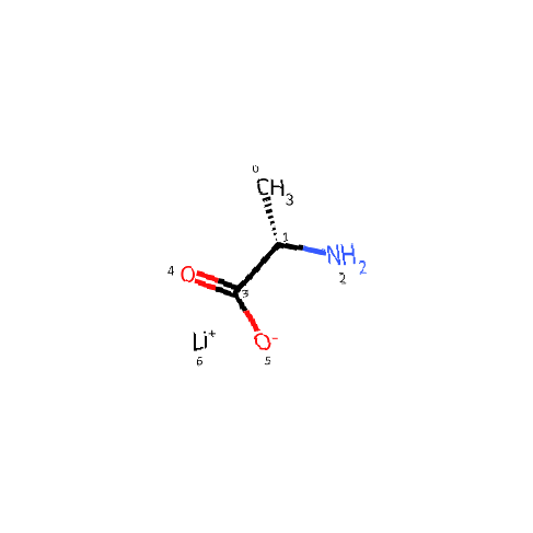 C[C@H](N)C(=O)[O-].[Li+]